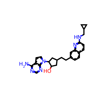 Nc1ncnc2c1ccn2C1CC(CCc2ccc3ccc(NCC4CC4)nc3c2)CC1O